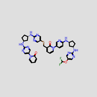 O=c1ccccn1-c1cnc(N[C@H]2CC[C@H](Nc3ncc(SCc4cccn(-c5ccc(N[C@H]6CC[C@H](Nc7ncc(OC(F)F)cn7)C6)nc5)c4=O)cn3)C2)nc1